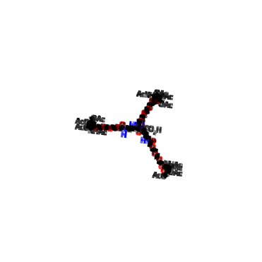 CC(=O)N[C@@H]1[C@@H](OC(C)=O)[C@@H](OC(C)=O)[C@@H](COC(C)=O)C[C@H]1OCCOCCOCCOCC(=O)NCCCC[C@H](NC(=O)COCCOCCOCCO[C@@H]1O[C@H](COC(C)=O)[C@H](OC(C)=O)[C@H](OC(C)=O)[C@H]1NC(C)=O)C(=O)N[C@@H](CCCCNC(=O)COCCOCCOCCO[C@@H]1O[C@H](COC(C)=O)[C@H](OC(C)=O)[C@H](OC(C)=O)[C@H]1NC(C)=O)C(=O)O